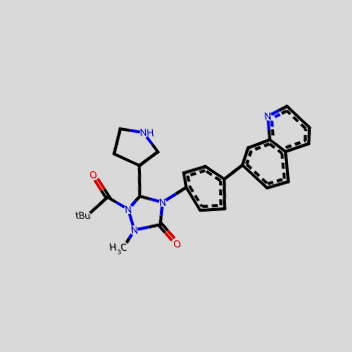 CN1C(=O)N(c2ccc(-c3ccc4cccnc4c3)cc2)C(C2CCNC2)N1C(=O)C(C)(C)C